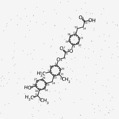 Cc1cc(OCC(=O)Oc2ccc(CCC(=O)O)cc2)cc(C)c1Cc1ccc(O)c(C(C)C)c1